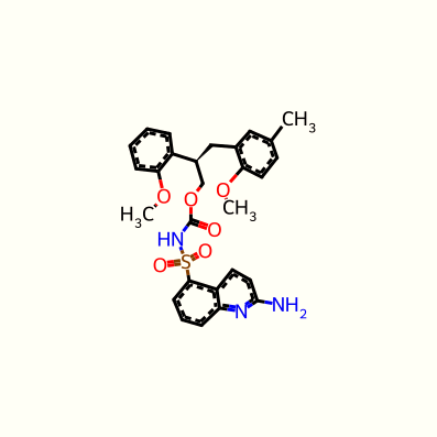 COc1ccc(C)cc1C[C@@H](COC(=O)NS(=O)(=O)c1cccc2nc(N)ccc12)c1ccccc1OC